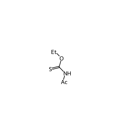 CCOC(=S)NC(C)=O